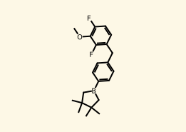 COc1c(F)ccc(Cc2ccc(B3CC(C)(C)C(C)(C)C3)cc2)c1F